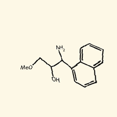 COCC(O)C(N)c1cccc2ccccc12